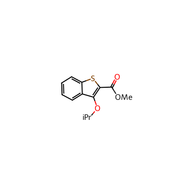 COC(=O)c1sc2ccccc2c1OC(C)C